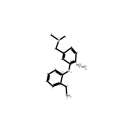 CN(C)Cc1cccc(Sc2ccccc2CN)c1.Cl.Cl